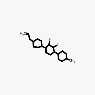 C=CCC1CCC(C2CCC(C3CCC(C)CC3)C(F)C2F)CC1